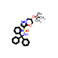 CC(C)(C)[Si](C)(C)O[C@@H]1COc2c(S(=N)(=O)NC(c3ccccc3)(c3ccccc3)c3ccccc3)cnn2C1